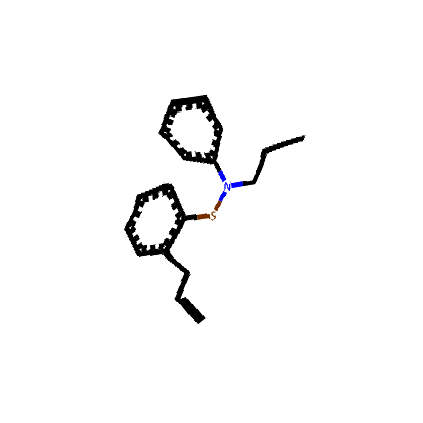 C=CCc1ccccc1SN(CCC)c1ccccc1